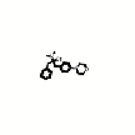 CCC(Cc1ccccc1)(Cc1ccc(N2CCOCC2)cc1)N(C)C